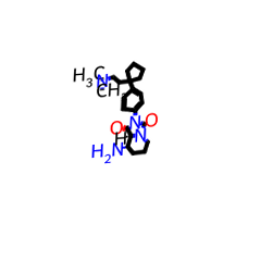 CN(C)CCC1(c2ccc(N3C(=O)[C@@H]4[C@H](N)CCCN4C3=O)cc2)CCCC1